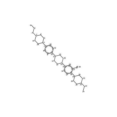 CCCC1CCC(c2ccc(C3CCC(c4ccc(C5CCC(CC)CC5)c(F)c4)CC3)cc2)CC1